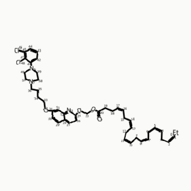 CC/C=C\C/C=C\C/C=C\C/C=C\C/C=C\C/C=C\CCC(=O)OCOc1ccc2ccc(OCCCCN3CCN(c4cccc(Cl)c4Cl)CC3)cc2n1